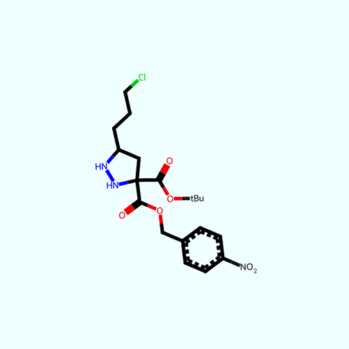 CC(C)(C)OC(=O)C1(C(=O)OCc2ccc([N+](=O)[O-])cc2)CC(CCCCl)NN1